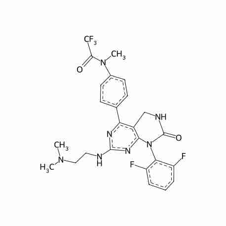 CN(C)CCNc1nc(-c2ccc(N(C)C(=O)C(F)(F)F)cc2)c2c(n1)N(c1c(F)cccc1F)C(=O)NC2